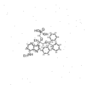 CCNc1ncnc2c1ncn2C(CC)(COC(c1ccccc1)(c1ccccc1)c1ccccc1)OCP(=O)(O)O